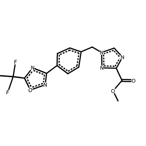 COC(=O)c1ncn(Cc2ccc(-c3noc(C(F)(F)F)n3)cc2)n1